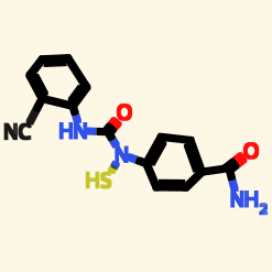 N#Cc1ccccc1NC(=O)N(S)c1ccc(C(N)=O)cc1